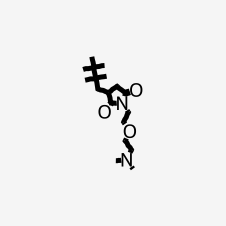 CN(C)CCOCCN1C(=O)CC(CC(C)(C)C(C)(C)C)C1=O